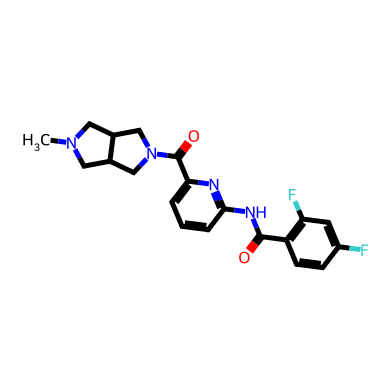 CN1CC2CN(C(=O)c3cccc(NC(=O)c4ccc(F)cc4F)n3)CC2C1